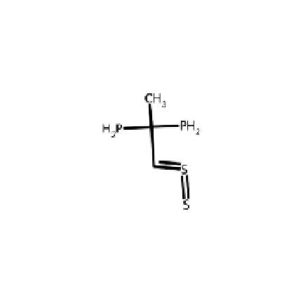 CC(P)(P)C=S=S